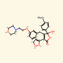 COc1ccc(C2(O)OC(=O)C(C3=CCOO3)=C2Cc2cccc(OCCN3CCOCC3)c2)cc1